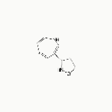 [C]1=CC(C2CCON2)=CNC=C1